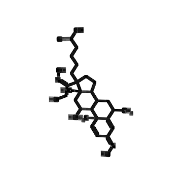 CC1CC2C(C(O)CC3(C)C2CCC3(CCCCC(=O)O)/C(CO)=N\O)C2(C)C=C/C(=N\O)C=C12